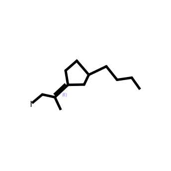 CCCCC1CC/C(=C(/C)CI)C1